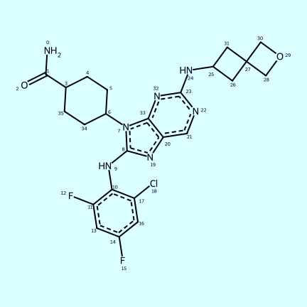 NC(=O)C1CCC(n2c(Nc3c(F)cc(F)cc3Cl)nc3cnc(NC4CC5(COC5)C4)nc32)CC1